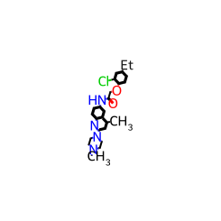 CCc1ccc(OCC(=O)Nc2ccc3nc(N4CCN(C)CC4)cc(C)c3c2)c(Cl)c1